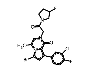 Cc1cn(CC(=O)N2CCC(F)C2)c(=O)c2c(-c3ccc(F)c(Cl)c3)cc(Br)n12